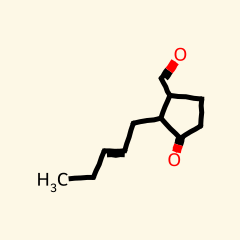 CCC=CCC1C(=O)CCC1C=O